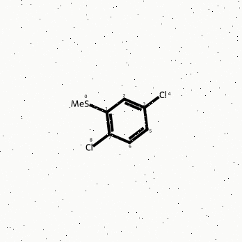 [CH2]Sc1cc(Cl)ccc1Cl